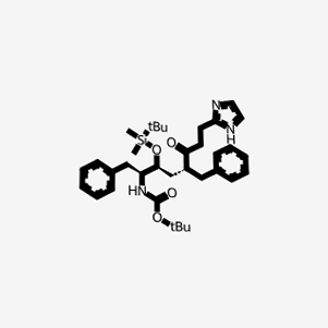 CC(C)(C)OC(=O)N[C@@H](Cc1ccccc1)[C@H](C[C@@H](Cc1ccccc1)C(=O)CCc1ncc[nH]1)O[Si](C)(C)C(C)(C)C